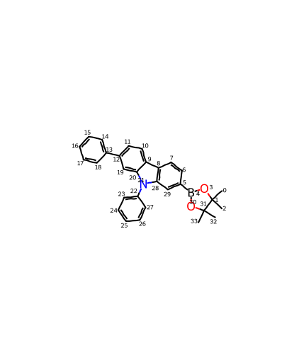 CC1(C)OB(c2ccc3c4ccc(-c5ccccc5)cc4n(-c4ccccc4)c3c2)OC1(C)C